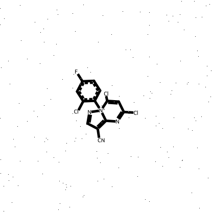 N#CC1=C2N=C(Cl)C=C(Cl)[N+]2(c2ccc(F)cc2Cl)N=C1